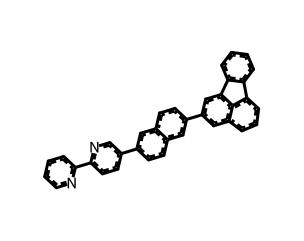 c1ccc(-c2ccc(-c3ccc4cc(-c5cc6c7c(cccc7c5)-c5ccccc5-6)ccc4c3)cn2)nc1